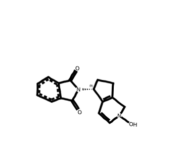 O=C1c2ccccc2C(=O)N1[C@@H]1CCC2=C1C=CN(O)C2